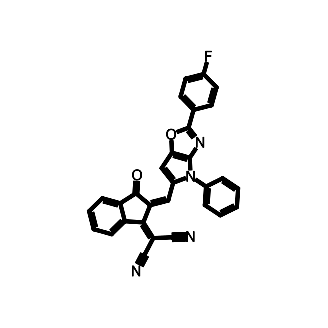 N#CC(C#N)=C1/C(=C/c2cc3oc(-c4ccc(F)cc4)nc3n2-c2ccccc2)C(=O)c2ccccc21